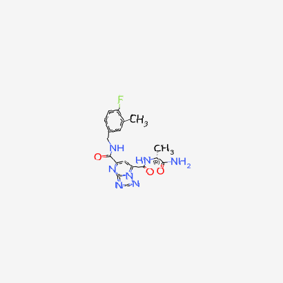 Cc1cc(CNC(=O)c2cc(C(=O)N[C@H](C)C(N)=O)n3ncnc3n2)ccc1F